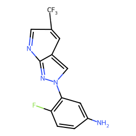 Nc1ccc(F)c(-n2cc3cc(C(F)(F)F)cnc3n2)c1